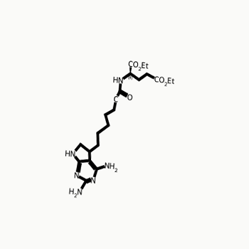 CCOC(=O)CC[C@@H](NC(=O)CCCCCCC1CNc2nc(N)nc(N)c21)C(=O)OCC